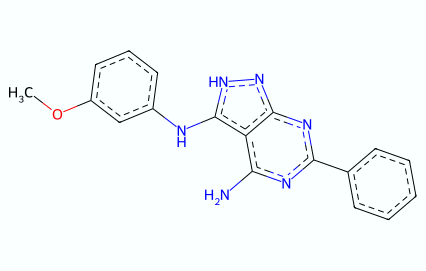 COc1cccc(Nc2[nH]nc3nc(-c4ccccc4)nc(N)c23)c1